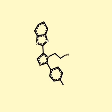 Cc1ccc(-c2ncc(-c3nc4ccccc4o3)n2CCO)cc1